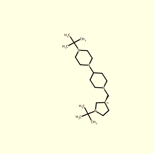 CC(C)(C)N1CCN(C2CCN(C[C@H]3CCN(C(C)(C)C)C3)CC2)CC1